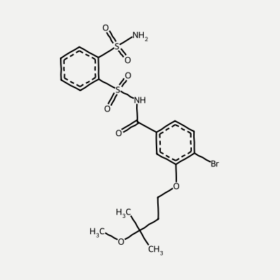 COC(C)(C)CCOc1cc(C(=O)NS(=O)(=O)c2ccccc2S(N)(=O)=O)ccc1Br